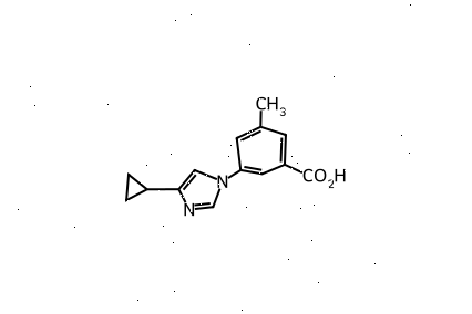 Cc1cc(C(=O)O)cc(-n2cnc(C3CC3)c2)c1